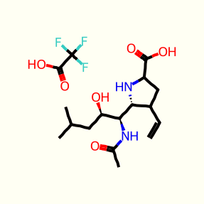 C=CC1CC(C(=O)O)N[C@H]1[C@@H](NC(C)=O)[C@H](O)CC(C)C.O=C(O)C(F)(F)F